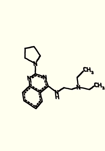 CCN(CC)CCNc1nc(N2CCCC2)nc2ccccc12